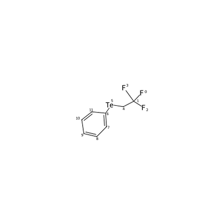 FC(F)(F)C[Te]c1ccccc1